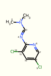 CN(C)C=Nc1ncc(Cl)cc1Cl